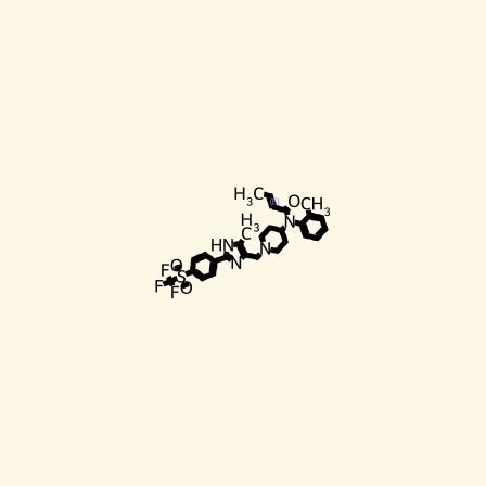 C/C=C/C(=O)N(c1ccccc1C)C1CCN(Cc2nc(-c3ccc(S(=O)(=O)C(F)(F)F)cc3)[nH]c2C)CC1